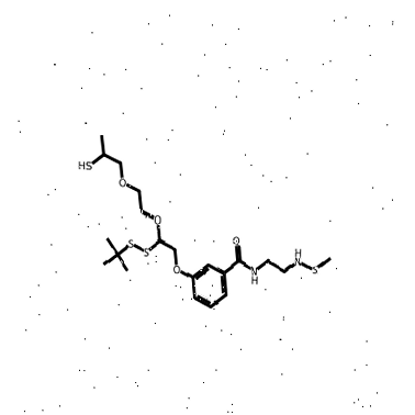 CSNCCNC(=O)c1cccc(OCC(OCCOCC(C)S)SSC(C)(C)C)c1